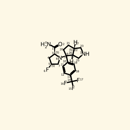 NC(=O)[C@@H]1C[C@H](F)CN1[C@@]1(c2ccc(C(F)(F)F)cc2)CC[C@@H]2CNC[C@@H]21